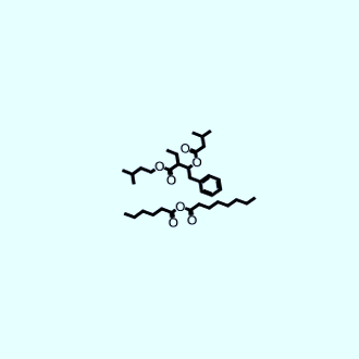 CCC(C(=O)OCCC(C)C)C(Cc1ccccc1)OC(=O)CC(C)C.CCCCCCCC(=O)OC(=O)CCCCC